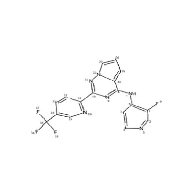 Fc1cnccc1Nc1nc(-c2ccc(C(F)(F)F)cn2)nn2cccc12